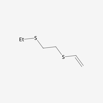 [CH2]CSCCSC=C